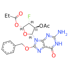 CCC(=O)O[C@H]1O[C@@H](n2c(OCc3ccccc3)nc3c(=O)[nH]c(N)nc32)[C@H](OC(C)=O)[C@H]1F